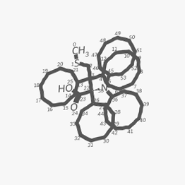 CSCC(C1CCCCCCCC1)(C1CCCCCCCC1)[C@](C(=O)O)(C1CCCCCCCC1)N(C1CCCCCCCC1)C1CCCCCCCC1